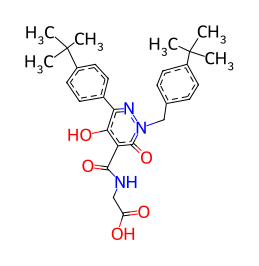 CC(C)(C)c1ccc(Cn2nc(-c3ccc(C(C)(C)C)cc3)c(O)c(C(=O)NCC(=O)O)c2=O)cc1